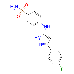 NS(=O)(=O)c1ccc(Nc2cc(-c3ccc(F)cc3)n[nH]2)cc1